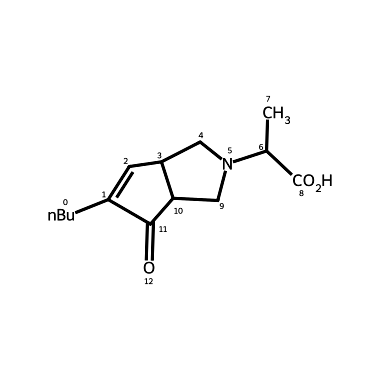 CCCCC1=CC2CN(C(C)C(=O)O)CC2C1=O